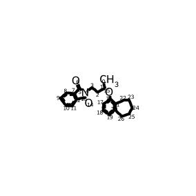 CC(CCN1C(=O)c2ccccc2C1=O)Oc1cccc2c1CCCCC2